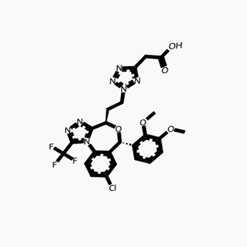 COc1cccc([C@H]2O[C@H](CCn3nnc(CC(=O)O)n3)c3nnc(C(F)(F)F)n3-c3ccc(Cl)cc32)c1OC